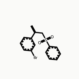 C=C(CS(=O)(=O)c1ccccc1)c1cccc(Br)c1